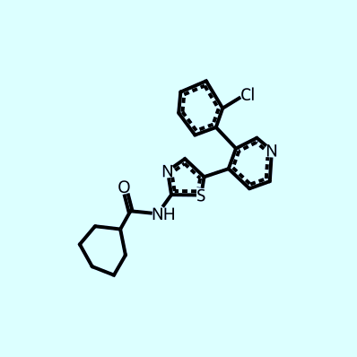 O=C(Nc1ncc(-c2ccncc2-c2ccccc2Cl)s1)C1CCCCC1